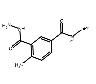 CCCNC(=O)c1ccc(C)c(C(=O)NN)c1